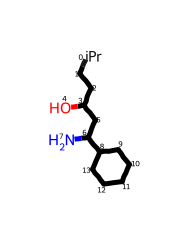 CC(C)CCC(O)CC(N)C1CCCCC1